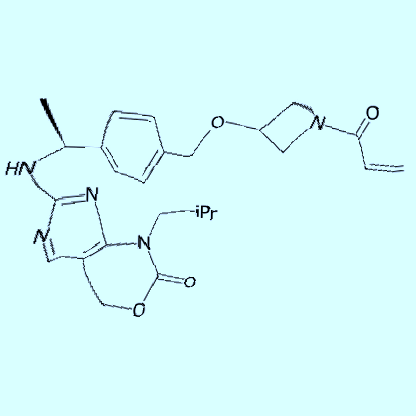 C=CC(=O)N1CC(OCc2ccc([C@H](C)Nc3ncc4c(n3)N(CC(C)C)C(=O)OC4)cc2)C1